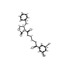 O=C(CCCCC(=O)N1C(=O)OC[C@H]1Cc1ccccc1)c1cc(Br)cc(I)c1